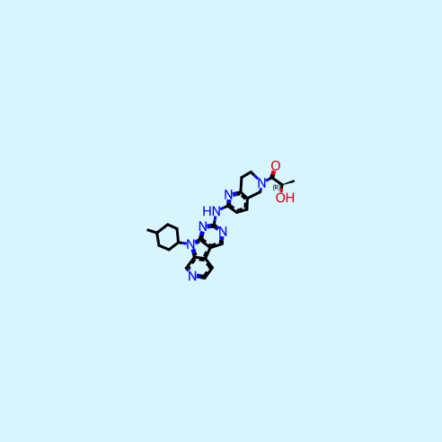 CC1CCC(n2c3cnccc3c3cnc(Nc4ccc5c(n4)CCN(C(=O)[C@@H](C)O)C5)nc32)CC1